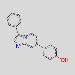 Oc1ccc(-c2ccn3c(-c4ccccc4)cnc3c2)cc1